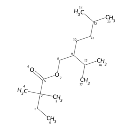 CCC(C)(C)C(=O)OCC(CCC(C)C)C(C)C